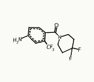 Nc1ccc(C(=O)N2CCC(F)(F)CC2)c(C(F)(F)F)c1